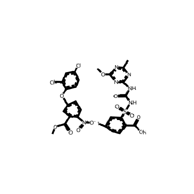 COC(=O)c1cc(Oc2ccc(Cl)cc2Cl)ccc1[N+](=O)[O-].COc1nc(C)nc(NC(=O)NS(=O)(=O)c2cc(I)ccc2C(=O)O)n1